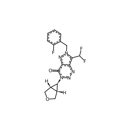 O=c1c2nn(Cc3ccccc3F)c(C(F)F)c2nnn1[C@H]1[C@@H]2COC[C@@H]21